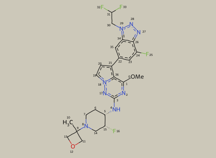 COc1nc(N[C@H]2CCN(C3(C)COC3)C[C@H]2F)nn2ccc(-c3cc(F)c4nnn(CC(F)F)c4c3)c12